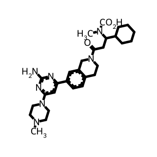 CN1CCN(c2cc(-c3ccc4c(c3)CN(C(=O)CC(C3CCCCC3)N(C)C(=O)O)CC4)nc(N)n2)CC1